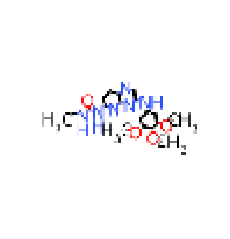 CCNC(=O)Nc1ccc2ncc(Nc3cc(OC)c(OC)c(OC)c3)nc2n1